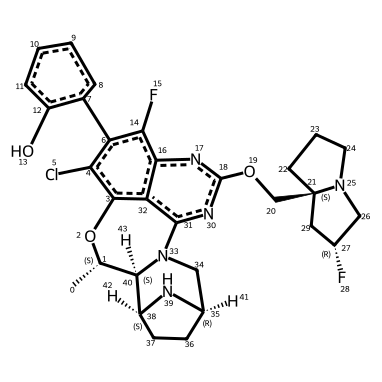 C[C@@H]1Oc2c(Cl)c(-c3ccccc3O)c(F)c3nc(OC[C@@]45CCCN4C[C@H](F)C5)nc(c23)N2C[C@H]3CC[C@H](N3)[C@@H]12